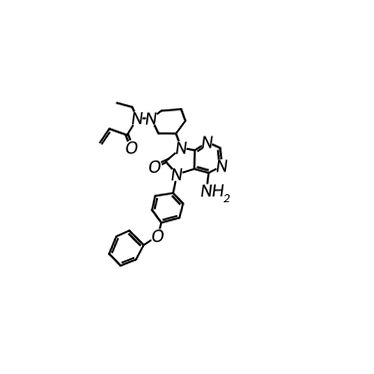 C=CC(=O)N(CC)N1CCCC(n2c(=O)n(-c3ccc(Oc4ccccc4)cc3)c3c(N)ncnc32)C1